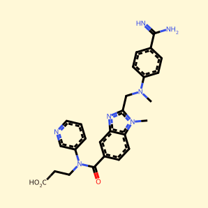 CN(Cc1nc2cc(C(=O)N(CCC(=O)O)c3cccnc3)ccc2n1C)c1ccc(C(=N)N)cc1